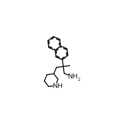 CC(CN)(CC1CCCNC1)c1ccc2ccccc2c1